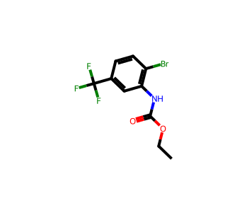 CCOC(=O)Nc1cc(C(F)(F)F)ccc1Br